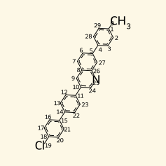 Cc1ccc(-c2ccc3cc(-c4ccc(-c5ccc(Cl)cc5)cc4)cnc3c2)cc1